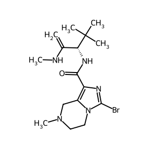 C=C(NC)[C@@H](NC(=O)c1nc(Br)n2c1CN(C)CC2)C(C)(C)C